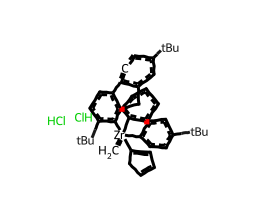 Cl.Cl.[CH2]=[Zr]([C]1=CC=CC1)([c]1ccccc1)([c]1ccc(C(C)(C)C)cc1)[c]1c(C(C)(C)C)ccc2c1Cc1cc(C(C)(C)C)ccc1-2